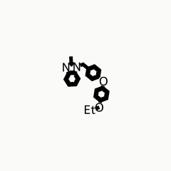 CCOc1ccc(Oc2ccc(Cn3c(C)nc4ccccc43)cc2)cc1